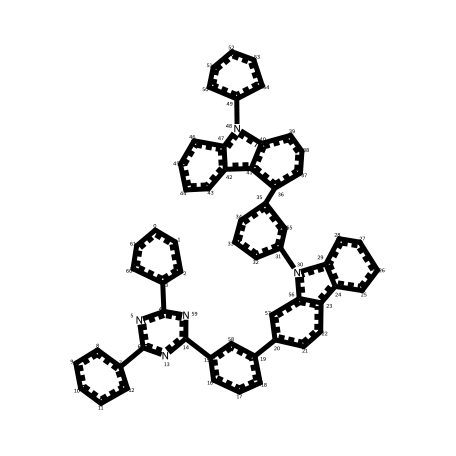 c1ccc(-c2nc(-c3ccccc3)nc(-c3cccc(-c4ccc5c6ccccc6n(-c6cccc(-c7cccc8c7c7ccccc7n8-c7ccccc7)c6)c5c4)c3)n2)cc1